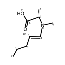 CCCC=CN(C)[C@@H](C)C(=O)O